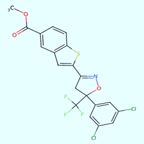 COC(=O)c1ccc2sc(C3=NOC(c4cc(Cl)cc(Cl)c4)(C(F)(F)F)C3)cc2c1